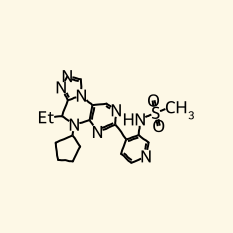 CCC1c2nncn2-c2cnc(-c3ccncc3NS(C)(=O)=O)nc2N1C1CCCC1